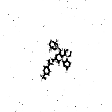 CCOc1ccc(Cl)cc1-n1c(C=C(C)C)c(C(=O)N2C[C@H]3CC[C@@H](C2)N3)cc(-c2nc(-c3ccc(C(F)(F)F)cc3)cs2)c1=O